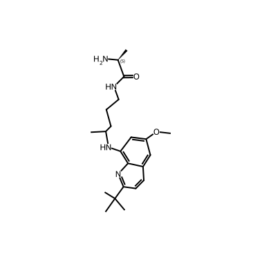 COc1cc(NC(C)CCCNC(=O)[C@H](C)N)c2nc(C(C)(C)C)ccc2c1